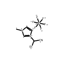 CCC(C#N)[n+]1ccn(C)c1.F[P-](F)(F)(F)(F)F